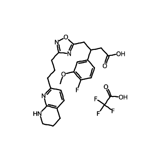 COc1cc(C(CC(=O)O)Cc2nc(CCCc3ccc4c(n3)NCCC4)no2)ccc1F.O=C(O)C(F)(F)F